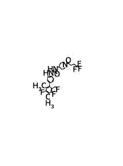 Cc1c(F)c(C)c(-c2ccc(NC(=O)NC3CCN(C(=O)CCC(F)(F)F)CC3)cc2)c(CF)c1F